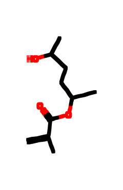 C=C(C)C(=O)OC(C)CCC(C)O